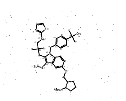 COC1CCCC1CSc1ccc2c(c1)c(SC(C)(C)C)c(CC(C)(C)CNc1nccs1)n2Cc1ccc(C(C)(C)O)cc1